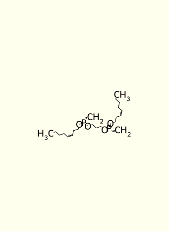 C=CP(OCC/C=C\CCCC)OCCCOP(C=C)OCC/C=C\CCCC